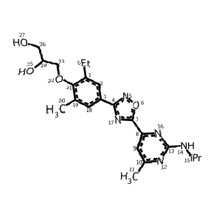 CCc1cc(-c2noc(-c3cc(C)nc(NC(C)C)n3)n2)cc(C)c1OCC(O)CO